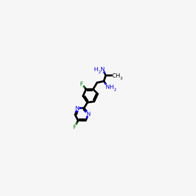 CC(N)C(N)Cc1ccc(-c2ncc(F)cn2)cc1F